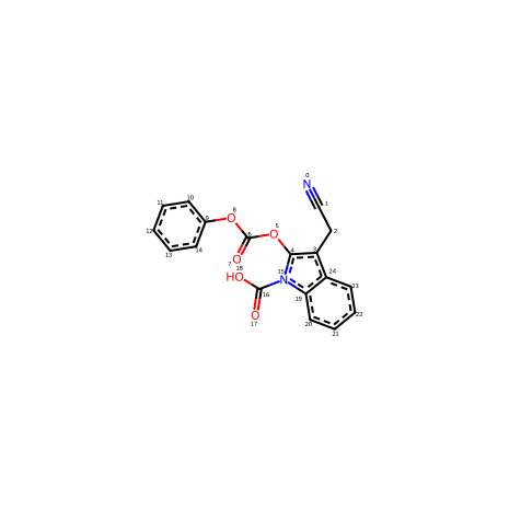 N#CCc1c(OC(=O)Oc2ccccc2)n(C(=O)O)c2ccccc12